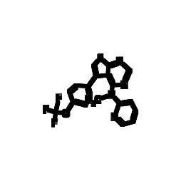 CN(c1ccccn1)c1ncnc2scc(-c3ccc(OC(F)(F)F)cc3)c12